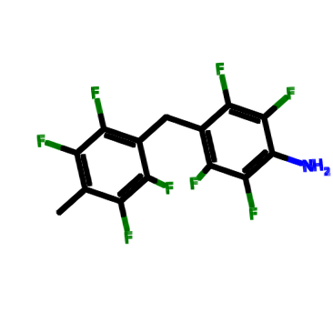 Cc1c(F)c(F)c(Cc2c(F)c(F)c(N)c(F)c2F)c(F)c1F